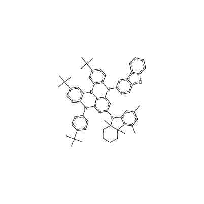 Cc1cc(C)c2c(c1)N(c1cc3c4c(c1)N(c1ccc5oc6ccccc6c5c1)c1ccc(C(C)(C)C)cc1B4c1cc(C(C)(C)C)ccc1N3c1ccc(C(C)(C)C)cc1)C1(C)CCCCC21C